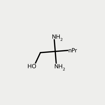 CCCC(N)(N)CO